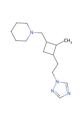 CC1C(CCn2cncn2)CC1CN1CCCCC1